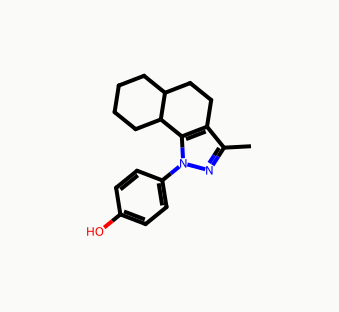 Cc1nn(-c2ccc(O)cc2)c2c1CCC1CCCCC21